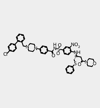 O=C(NS(=O)(=O)c1ccc(N[C@@H](CSc2ccccc2)CC(=O)N2CCOCC2)c([N+](=O)[O-])c1)c1ccc(N2CCN(Cc3ccccc3-c3ccc(Cl)cc3)CC2)cc1